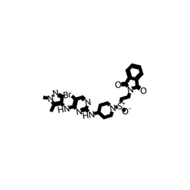 Cc1c(Nc2nc(NC3CCN([S+]([O-])CCN4C(=O)c5ccccc5C4=O)CC3)ncc2Br)cnn1C